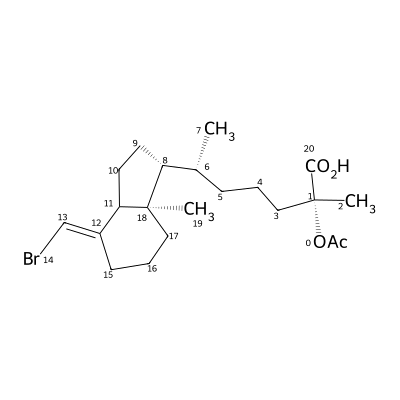 CC(=O)O[C@](C)(CCC[C@@H](C)[C@H]1CCC2C(=CBr)CCC[C@@]21C)C(=O)O